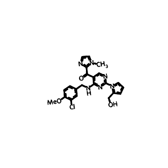 COc1ccc(CNc2nc(-n3cccc3CO)ncc2C(=O)c2nccn2C)cc1Cl